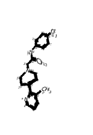 Cc1cccnc1C1=CCN(CC(=O)Nc2ccc(C(F)(F)F)cc2)CC1